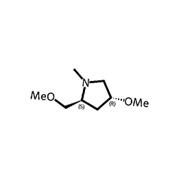 COC[C@@H]1C[C@@H](OC)CN1C